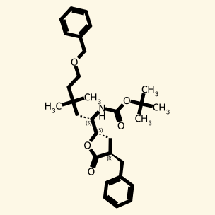 CC(C)(CCOCc1ccccc1)C[C@H](NC(=O)OC(C)(C)C)[C@@H]1C[C@@H](Cc2ccccc2)C(=O)O1